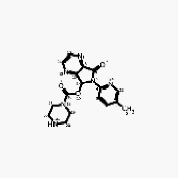 Cc1ccc(N2C(=O)c3nccnc3C2OC(=O)N2CCNCC2)nc1